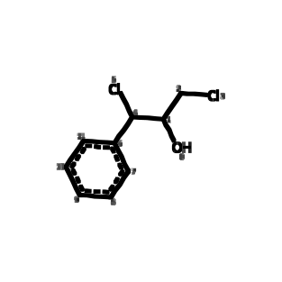 OC(CCl)C(Cl)c1ccccc1